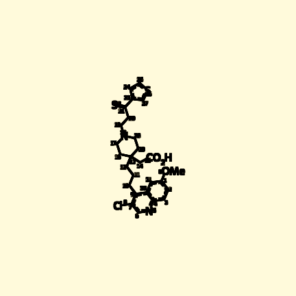 COc1ccc2ncc(Cl)c(CCCC3(CC(=O)O)CCN(CCC(=S)c4ccsc4)CC3)c2c1